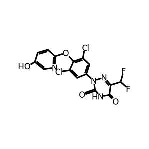 O=c1[nH]c(=O)n(-c2cc(Cl)c(Oc3ccc(O)cn3)c(Cl)c2)nc1C(F)F